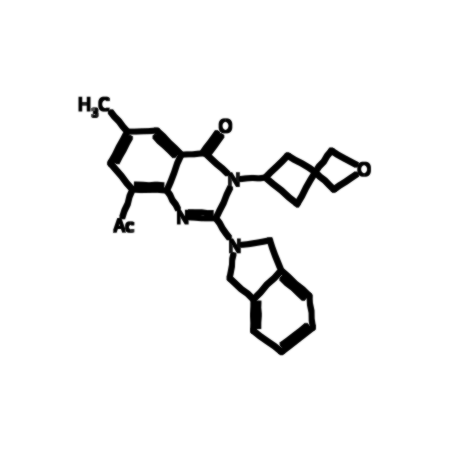 CC(=O)c1cc(C)cc2c(=O)n(C3CC4(COC4)C3)c(N3Cc4ccccc4C3)nc12